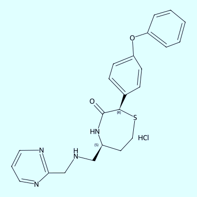 Cl.O=C1N[C@H](CNCc2ncccn2)CCS[C@@H]1c1ccc(Oc2ccccc2)cc1